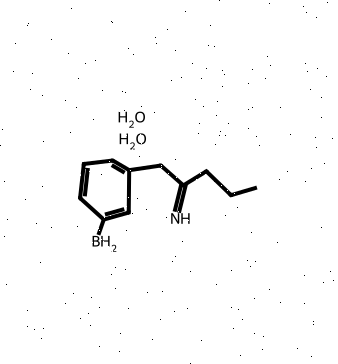 Bc1cccc(CC(=N)CCC)c1.O.O